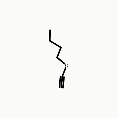 [C]#COCCCC